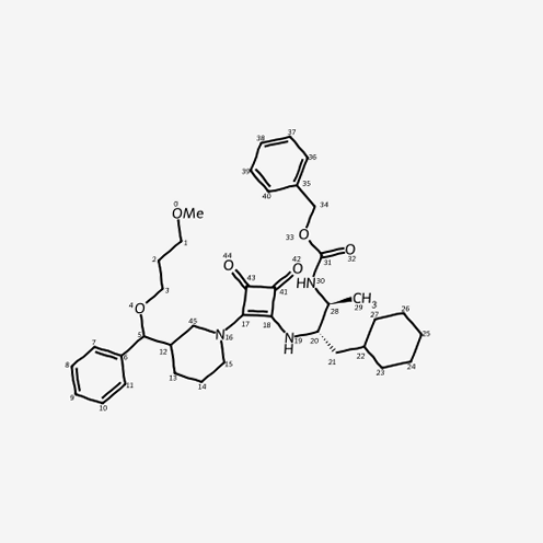 COCCCOC(c1ccccc1)C1CCCN(c2c(N[C@@H](CC3CCCCC3)[C@H](C)NC(=O)OCc3ccccc3)c(=O)c2=O)C1